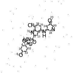 COc1ccc(S(=O)(=O)NC(=O)c2cc3c(Nc4cncc(OC)c4)ccc(Cl)c3n2C)cc1